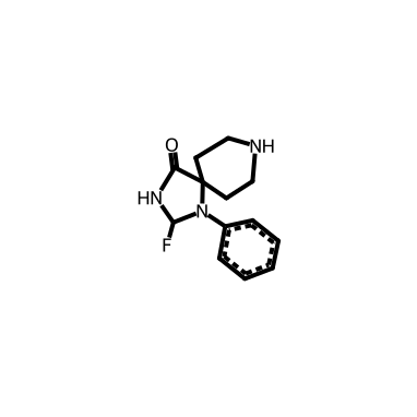 O=C1NC(F)N(c2ccccc2)C12CCNCC2